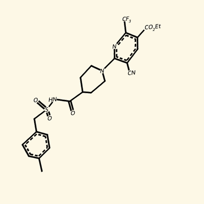 CCOC(=O)c1cc(C#N)c(N2CCC(C(=O)NS(=O)(=O)Cc3ccc(C)cc3)CC2)nc1C(F)(F)F